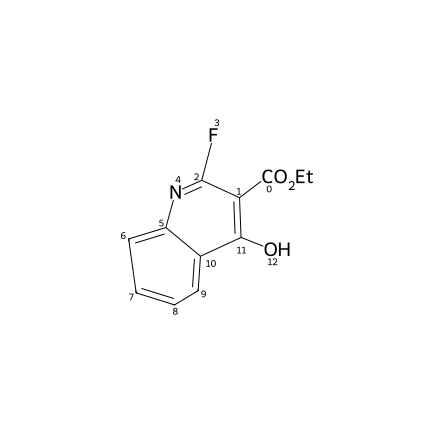 CCOC(=O)c1c(F)nc2ccccc2c1O